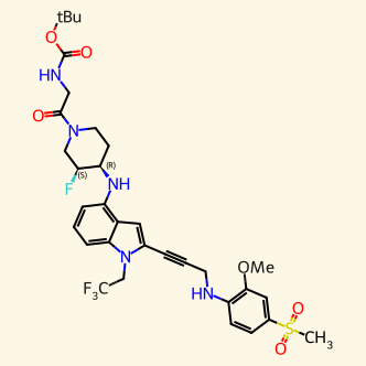 COc1cc(S(C)(=O)=O)ccc1NCC#Cc1cc2c(N[C@@H]3CCN(C(=O)CNC(=O)OC(C)(C)C)C[C@@H]3F)cccc2n1CC(F)(F)F